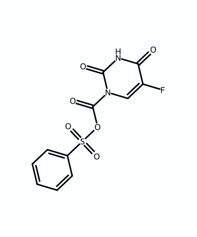 O=C(OS(=O)(=O)c1ccccc1)n1cc(F)c(=O)[nH]c1=O